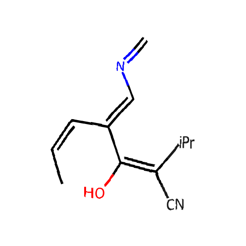 C=N/C=C(\C=C/C)C(/O)=C(/C#N)C(C)C